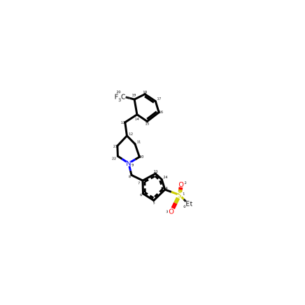 CCS(=O)(=O)c1ccc(CN2CCC(CC3C=CC=CC3C(F)(F)F)CC2)cc1